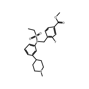 CCS(=O)(=O)N(Cc1ccc(C(=O)OC)cc1F)c1cccc(C2CCN(C)CC2)c1